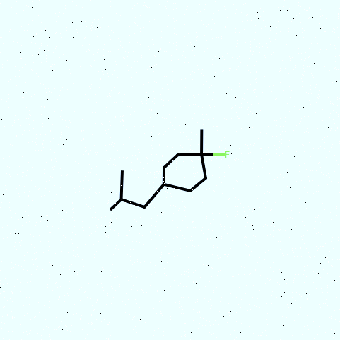 CC(C)CC1CCC(C)(F)CC1